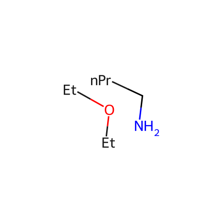 CCCCN.CCOCC